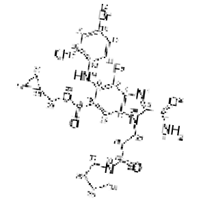 NC(=O)c1nc2c(F)c(Nc3ccc(Br)cc3Cl)c(C(=O)OCC3CC3)cc2n1CCC(=O)N1CCCC1